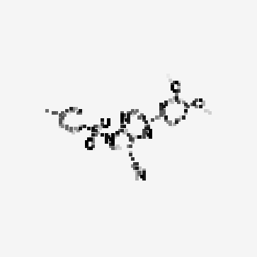 COc1ccc(-c2cnc3c(n2)c(C#N)cn3S(=O)(=O)c2ccc(C)cc2)cc1OC